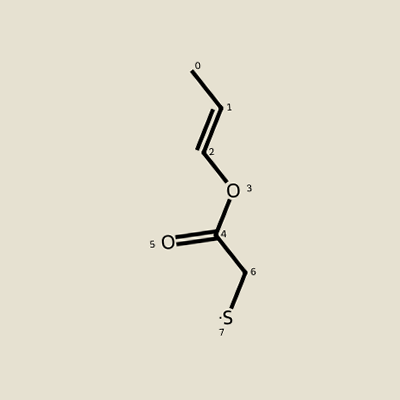 CC=COC(=O)C[S]